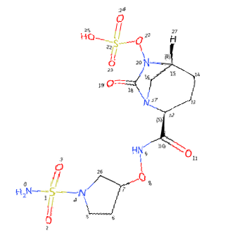 NS(=O)(=O)N1CCC(ONC(=O)[C@@H]2CC[C@@H]3CN2C(=O)N3OS(=O)(=O)O)C1